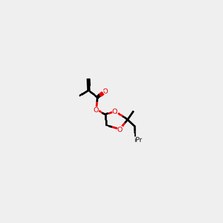 C=C(C)C(=O)OC1COC(C)(CC(C)C)O1